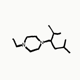 CCN1CCN(C(CC(C)C)C(C)C)CC1